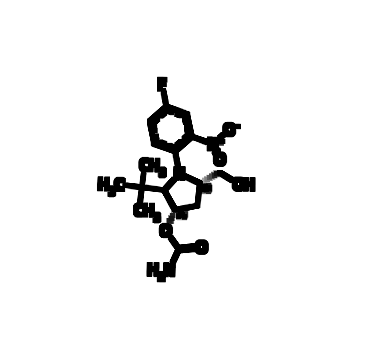 CC(C)(C)C1[C@@H](OC(N)=O)C[C@@H](CO)N1c1ccc(F)cc1[N+](=O)[O-]